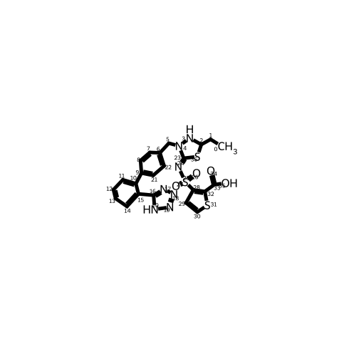 CCC1NN(Cc2ccc(-c3ccccc3-c3nnn[nH]3)cc2)C(=NS(=O)(=O)c2ccsc2C(=O)O)S1